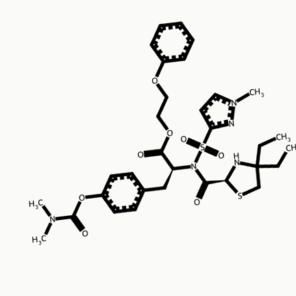 CCC1(CC)CS[C@@H](C(=O)N([C@@H](Cc2ccc(OC(=O)N(C)C)cc2)C(=O)OCCOc2ccccc2)S(=O)(=O)c2ccn(C)n2)N1